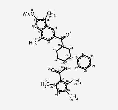 COc1nc2c(C)cc(C(=O)N3CC[C@@H](NC(=O)c4c(C)c(C)nn4C)[C@@H](c4ccccc4)C3)cc2n1C